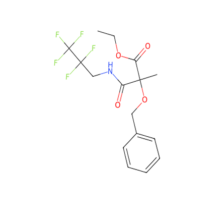 CCOC(=O)C(C)(OCc1ccccc1)C(=O)NCC(F)(F)C(F)(F)F